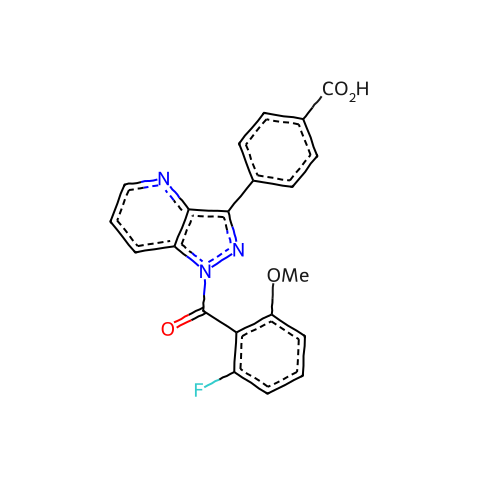 COc1cccc(F)c1C(=O)n1nc(-c2ccc(C(=O)O)cc2)c2ncccc21